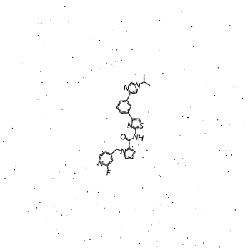 CC(C)n1cnc(-c2cccc(-c3csc(NC(=O)c4cccn4Cc4ccnc(F)c4)n3)c2)c1